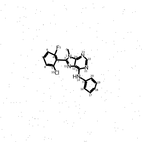 Cn1c(-c2c(F)cccc2Cl)nc2c(Nc3ccccc3)ncnc21